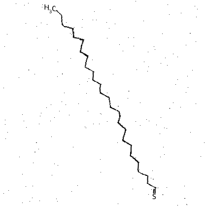 CCCCCCCCCCCCCCCCCCCCCCCCC[C]=S